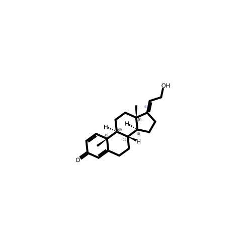 C[C@]12C=CC(=O)C=C1CC[C@@H]1[C@@H]2CC[C@]2(C)/C(=C/CO)CC[C@@H]12